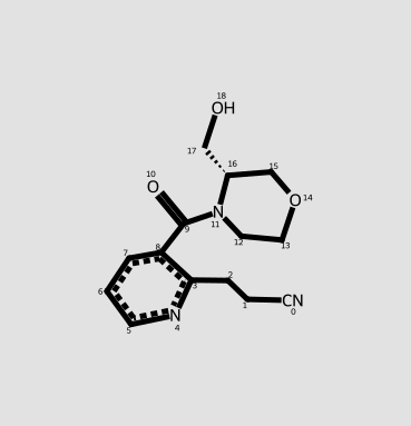 N#CCCc1ncccc1C(=O)N1CCOC[C@H]1CO